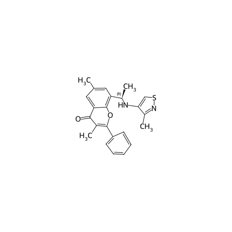 Cc1cc([C@@H](C)Nc2csnc2C)c2oc(-c3ccccc3)c(C)c(=O)c2c1